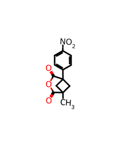 CC12CC(c3ccc([N+](=O)[O-])cc3)(C1)C(=O)OC2=O